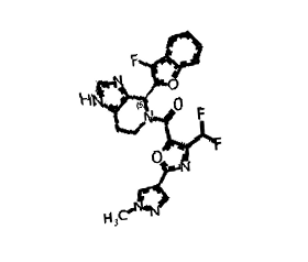 Cn1cc(-c2nc(C(F)F)c(C(=O)N3CCc4[nH]cnc4[C@H]3c3oc4ccccc4c3F)o2)cn1